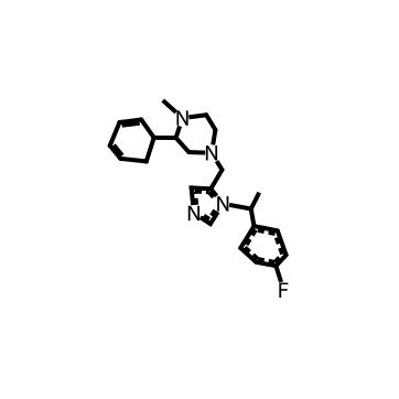 CC(c1ccc(F)cc1)n1cncc1CN1CCN(C)C(C2C=CC=CC2)C1